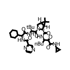 CCCCC(NC(=O)[C@@H]1[C@@H]2[C@H](CN1C(=O)[C@@H](NC(=O)[C@@H](NC(=O)c1cnccn1)C1CCCCC1)C(C)(C)C)C2(C)C)C(=O)C(=O)NC1CC1